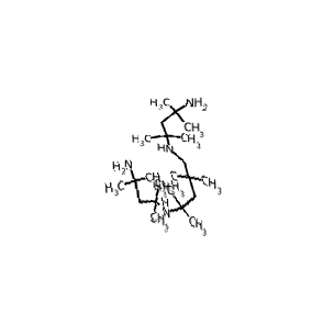 CC(C)(N)CC(C)(C)NCC(C)(C)CC(C)(C)NC(C)(C)CC(C)(C)N